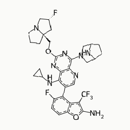 Nc1oc2ccc(F)c(-c3cnc4c(N5CC6CCC(C5)N6)nc(OC[C@@]56CCCN5C[C@H](F)C6)nc4c3NC3CC3)c2c1C(F)(F)F